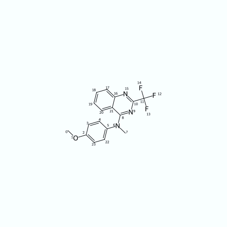 COc1ccc(N(C)c2nc(C(F)(F)F)nc3ccccc23)cc1